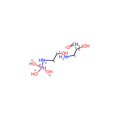 C=O.NCCO.OCCN[PH](O)(O)O